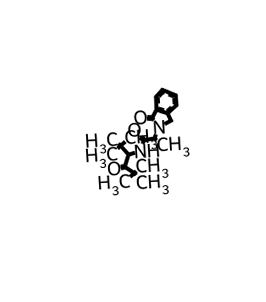 CC(C(=O)NC(C(=O)C(C)(C)C)C(C)(C)C)N1Cc2ccccc2C1=O